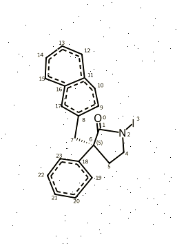 O=C1N(I)CC[C@@]1(Cc1ccc2ccccc2c1)c1ccccc1